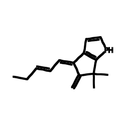 C=C1/C(=C\C=C\CC)c2cc[pH]c2C1(C)C